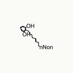 CCCCCCCCCCCC=CCCCCc1c(O)cccc1O